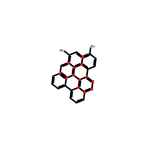 CC(C)(C)c1ccc(-c2ccccc2N(c2cc(C(C)(C)C)cc(C(C)(C)C)c2)c2ccccc2-c2cccc3cccc(-c4ccccc4)c23)cc1